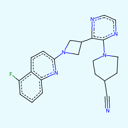 N#CC1CCN(c2nccnc2C2CN(c3ccc4c(F)cccc4n3)C2)CC1